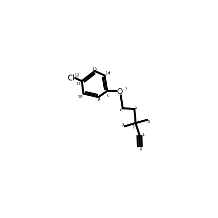 C#CC(C)(C)CCOc1ccc(Cl)cc1